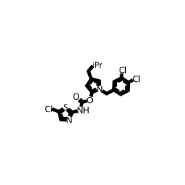 CC(C)Cc1cc(OC(=O)Nc2ncc(Cl)s2)n(Cc2ccc(Cl)c(Cl)c2)c1